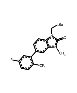 Cn1c(=O)n(CC(C)(C)C)c2ccc(-c3cc(F)ccc3C(F)(F)F)cc21